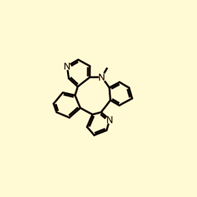 Cn1c2ccncc2c2ccccc2c2cccnc2c2ccccc21